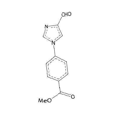 COC(=O)c1ccc(-n2cnc(C=O)c2)cc1